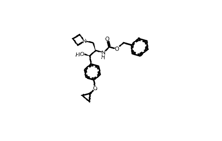 O=C(N[C@H](CN1CCC1)[C@H](O)c1ccc(OC2CC2)cc1)OCc1ccccc1